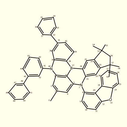 Cc1cc2c3c(c1)N(c1cccc4oc5ccccc5c14)c1cc4c(cc1B3c1ccc(-c3ccccc3)cc1N2c1cccc(-c2ccccc2)c1)C(C)(C)CC4(C)C